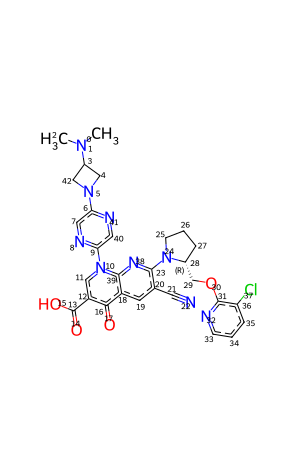 CN(C)C1CN(c2cnc(-n3cc(C(=O)O)c(=O)c4cc(C#N)c(N5CCC[C@@H]5COc5ncccc5Cl)nc43)cn2)C1